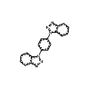 c1ccc2c(c1)nnn2-c1ccc(-n2nnc3ccccc32)cc1